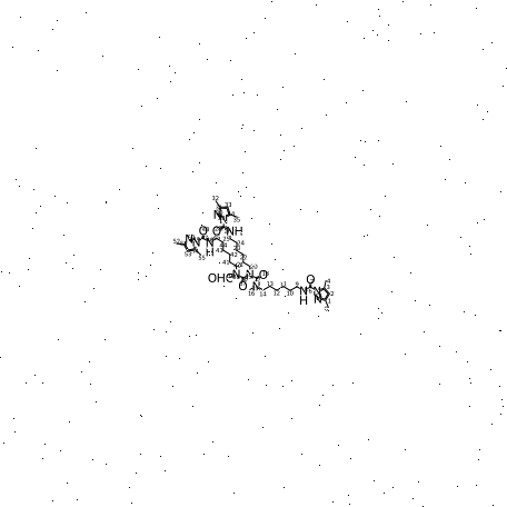 Cc1cc(C)n(C(=O)NCCCCCCN(C)C(=O)N(CCCCCCNC(=O)n2nc(C)cc2C)C(=O)N(C=O)CCCCCCNC(=O)n2nc(C)cc2C)n1